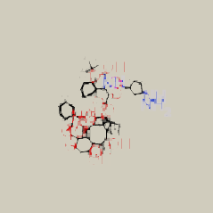 CC(=O)O[C@]12COC1C[C@@H](O)[C@]13O[C@H]1[C@@H](O)[C@H]1C(C)[C@H](OC(=O)[C@@H](OC(=O)C4CCC(NN)C4)[C@H](NC(O)OC(C)(C)C)c4ccccc4)C[C@](O)([C@H](OC(O)c4ccccc4)[C@H]32)C1(C)C